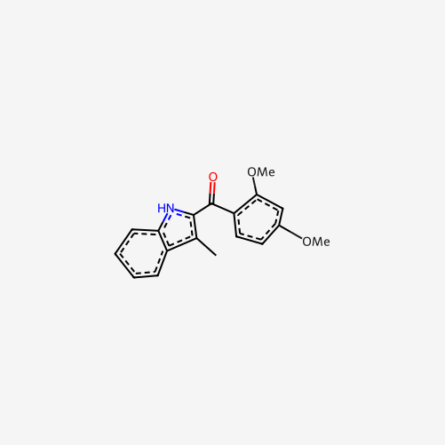 COc1ccc(C(=O)c2[nH]c3ccccc3c2C)c(OC)c1